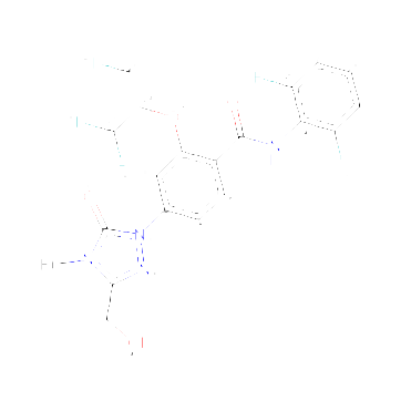 CCn1c(CO)nn(-c2ccc(C(=O)Nc3c(F)cccc3F)c(O[C@@H](CF)C(F)F)c2)c1=O